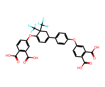 O=C(O)c1ccc(OC2=CC=C(c3ccc(Oc4ccc(C(=O)O)c(C(=O)O)c4)cc3)CC2(C(F)(F)F)C(F)(F)F)cc1C(=O)O